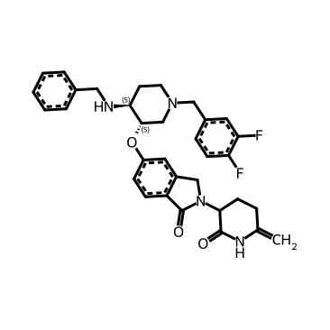 C=C1CCC(N2Cc3cc(O[C@H]4CN(Cc5ccc(F)c(F)c5)CC[C@@H]4NCc4ccccc4)ccc3C2=O)C(=O)N1